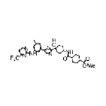 COC(=O)C1CCC(C(=O)N[C@H]2CC[C@@](O)(c3ncc(-c4cc(C)cc(Nc5nccc(C(F)(F)F)n5)c4)s3)CC2)CC1